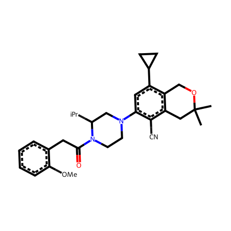 COc1ccccc1CC(=O)N1CCN(c2cc(C3CC3)c3c(c2C#N)CC(C)(C)OC3)CC1C(C)C